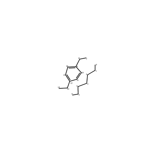 CCCCCCC.CCc1ccc(CC)cc1